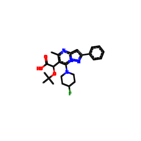 Cc1nc2cc(-c3ccccc3)nn2c(N2CCC(F)CC2)c1C(OC(C)(C)C)C(=O)O